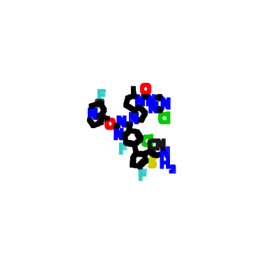 CC1CCC2C(CCN2c2nc(OC[C@@]34CCCN3C[C@H](F)C4)nc3c(F)c(-c4ccc(F)c5sc(N)c(C#N)c45)c(Cl)cc23)N1C(=O)n1cnc(Cl)n1